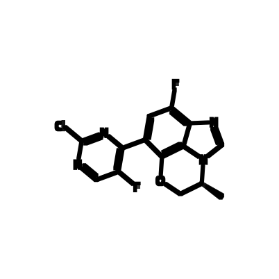 C[C@H]1COc2c(-c3nc(Cl)ncc3F)cc(F)c3ncn1c23